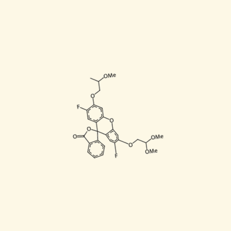 COC(C)COc1cc2c(cc1F)C1(OC(=O)c3ccccc31)c1cc(F)c(OCC(OC)OC)cc1O2